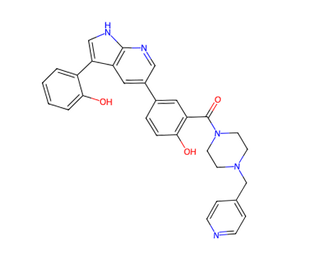 O=C(c1cc(-c2cnc3[nH]cc(-c4ccccc4O)c3c2)ccc1O)N1CCN(Cc2ccncc2)CC1